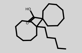 CCCCCC1(C2(C(=O)O)CCCCCCC2)CCCCCCC1